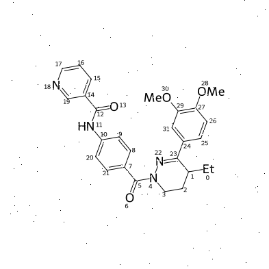 CCC1CCN(C(=O)c2ccc(NC(=O)c3cccnc3)cc2)N=C1c1ccc(OC)c(OC)c1